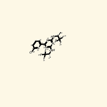 C[C@H](Nc1nc(N[C@H](C)C(F)(F)F)nc(-c2cccc(Cl)n2)n1)C(F)(F)F